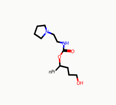 CCCC(CCCO)OC(=O)NCCN1CCCC1